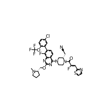 CN1CCC[C@H]1COc1nc(N2CCN(C(=O)/C(F)=C/c3nccs3)[C@@H](CC#N)C2)c2ccc(-c3cc(Cl)ccc3OC(F)(F)F)c(F)c2n1